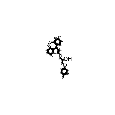 Cc1ccc(OCC(O)CNCCC2c3ccccc3COc3ccccc32)cc1